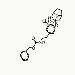 O=C(NCCc1ccc(N2CC3CCC(C2)N3C(=O)O)c(Cl)c1)OCc1ccccc1